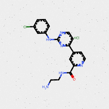 Cl.NCCNC(=O)c1cc(-c2ccnc(Nc3cccc(Cl)c3)n2)ccn1